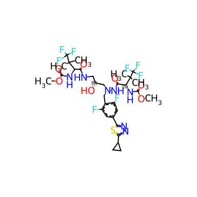 COC(=O)NC(C(=O)NC[C@@H](O)CN(Cc1c(F)cc(-c2nnc(C3CC3)s2)cc1F)NC(=O)[C@@H](NC(=O)OC)C(C)(C)C(F)(F)F)C(C)(C)C(F)(F)F